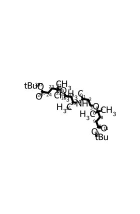 CC(CCOC(C)(C)CCC(=O)OC(C)(C)C)NC(C)CCOC(C)(C)CCC(=O)OC(C)(C)C